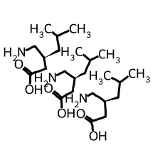 CC(C)C[C@H](CN)CC(=O)O.CC(C)C[C@H](CN)CC(=O)O.CC(C)C[C@H](CN)CC(=O)O